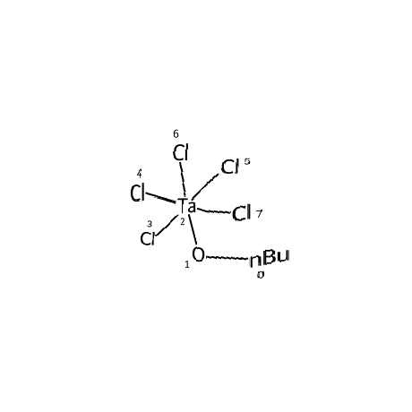 CCCC[O][Ta]([Cl])([Cl])([Cl])([Cl])[Cl]